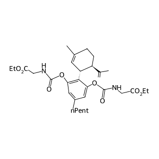 C=C(C)[C@@H]1CCC(C)=C[C@H]1c1c(OC(=O)NCC(=O)OCC)cc(CCCCC)cc1OC(=O)NCC(=O)OCC